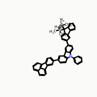 C[Si](C)(C)C1([Si](C)(C)C)c2ccccc2-c2cc(-c3ccc4c(c3)c3cc(-c5ccc6c(c5)-c5cccc7cccc-6c57)ccc3n4-c3ccccc3)ccc21